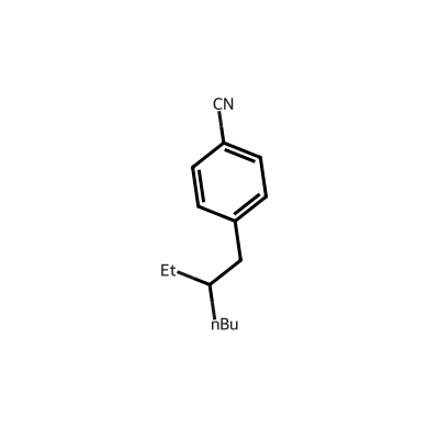 CCCCC(CC)Cc1ccc(C#N)cc1